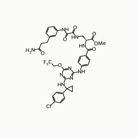 COC(=O)[C@H](CNC(=O)C(=O)Nc1cccc(CCC(N)=O)c1)NC(=O)c1ccc(Nc2nc(NC3(c4ccc(Cl)cc4)CC3)nc(OCC(F)(F)F)n2)cc1